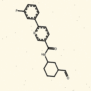 O=CC1CCCC(NC(=O)c2ccc(-c3cccc(F)c3)nc2)C1